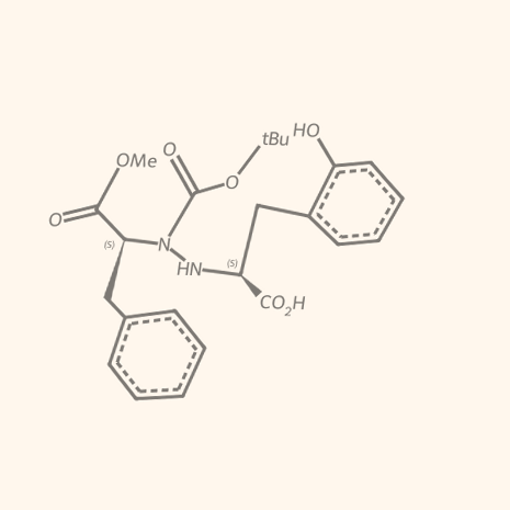 COC(=O)[C@H](Cc1ccccc1)N(N[C@@H](Cc1ccccc1O)C(=O)O)C(=O)OC(C)(C)C